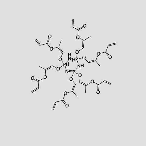 C=CC(=O)OC(C)=COP1(OC=C(C)OC(=O)C=C)=N[PH](OC=C(C)OC(=O)C=C)(OC=C(C)OC(=O)C=C)N[PH](OC=C(C)OC(=O)C=C)(OC=C(C)OC(=O)C=C)N1